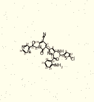 N#Cc1cc(-c2cc(NCc3ccc(Cl)s3)n(C(=O)c3ccccc3N)n2)c(=O)n(CC(=O)c2cnccn2)c1